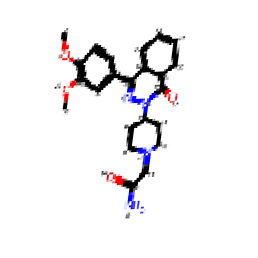 COc1ccc(C2=NN(C3CCN(CC(N)=O)CC3)C(=O)C3CC=CCC23)cc1OC